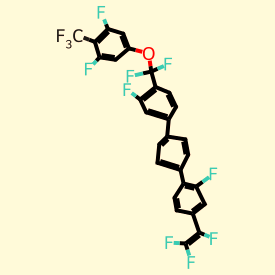 FC(F)=C(F)c1ccc(-c2ccc(-c3ccc(C(F)(F)Oc4cc(F)c(C(F)(F)F)c(F)c4)c(F)c3)cc2)c(F)c1